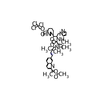 CC(=O)O[C@H](C)c1ccc2ccc(/C=C/C(C)(C)C(=O)N[C@H](C(=O)NC(Cn3cccn3)C(=O)N3CCC[C@@H](C(=O)OCC(Cl)(Cl)Cl)N3)C(C)C)cc2n1